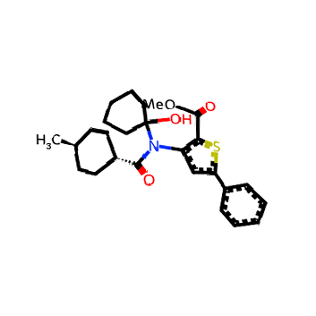 COC(=O)c1sc(-c2ccccc2)cc1N(C(=O)[C@H]1CC[C@H](C)CC1)C1(O)CCCCC1